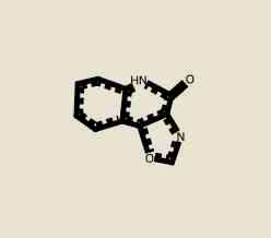 O=c1[nH]c2ccccc2c2ocnc12